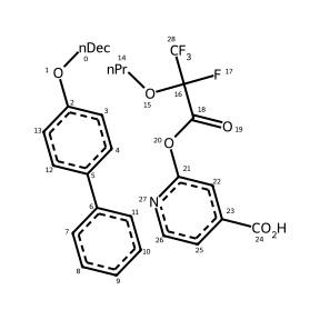 CCCCCCCCCCOc1ccc(-c2ccccc2)cc1.CCCOC(F)(C(=O)Oc1cc(C(=O)O)ccn1)C(F)(F)F